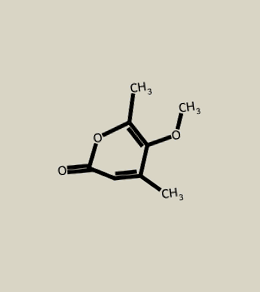 COc1c(C)cc(=O)oc1C